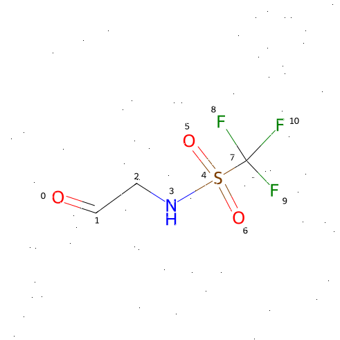 O=CCNS(=O)(=O)C(F)(F)F